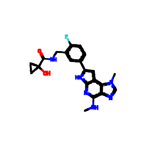 CNc1nc2[nH]c(-c3ccc(F)c(CNC(=O)C4(O)CC4)c3)cc2c2c1ncn2C